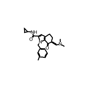 Cc1cccc(Cn2c(C(=O)NC3CC3)cc3c2C(=O)/C(=C/N(C)C)CC3)c1